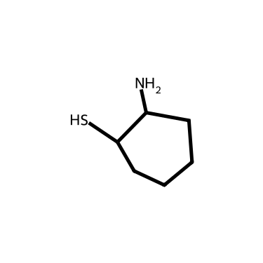 NC1CCCCC1S